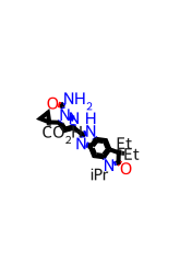 CCC1(CC)C(=O)N(C(C)C)c2cc3nc(-c4[c]c(C5(C(=O)O)CC5)n(C(N)=O)n4)[nH]c3cc21